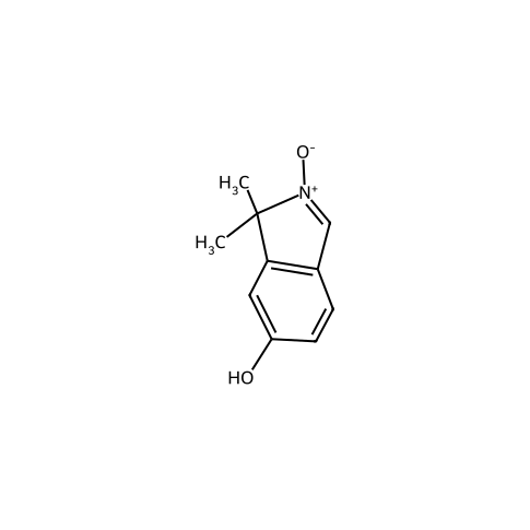 CC1(C)c2cc(O)ccc2C=[N+]1[O-]